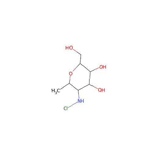 CC1OC(CO)C(O)C(O)C1NCl